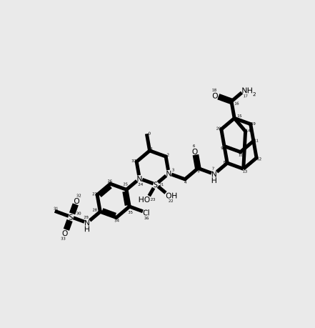 CC1CN(CC(=O)NC2C3CC4CC2CC(C(N)=O)(C4)C3)S(O)(O)N(c2ccc(NS(C)(=O)=O)cc2Cl)C1